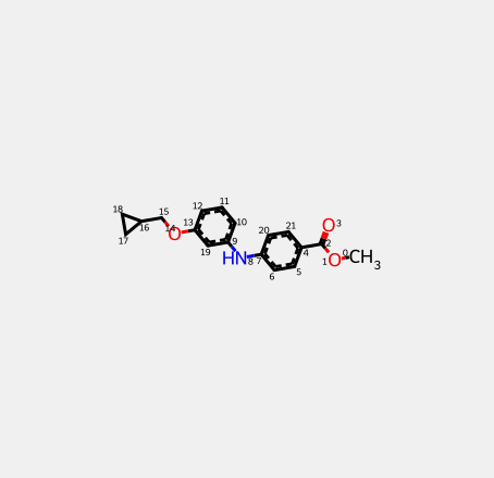 COC(=O)c1ccc(Nc2cccc(OCC3CC3)c2)cc1